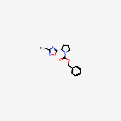 Cc1noc([C@@H]2CCCN2C(=O)OCc2ccccc2)n1